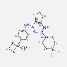 O=C(O)C1(c2ccc(Nc3nc(N4CCC(F)(F)CC4)nc4c3CCC4)cc2)CCC1